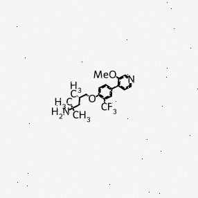 COc1cnccc1-c1ccc(OC[C@@H](C)CC(C)(C)N)c(C(F)(F)F)c1